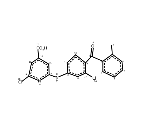 Cc1ccccc1C(=O)c1ccc(Nc2cc(C(=O)O)cc(Cl)n2)cc1Cl